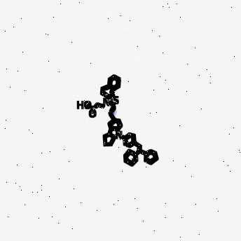 O=S(O)CC[n+]1c(/C=C/c2ccc3c(c2)C2CCCC2N3c2ccc(C=C(c3ccccc3)c3ccccc3)cc2)sc2c3ccccc3ccc21